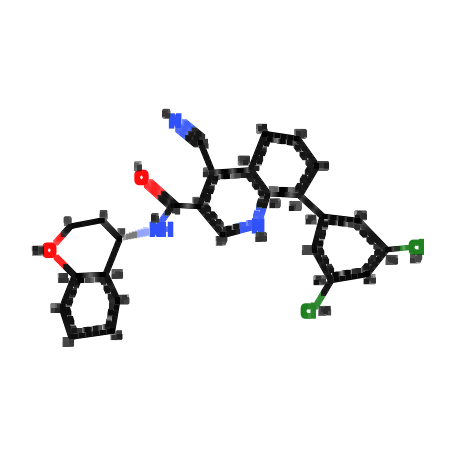 N#Cc1c(C(=O)N[C@H]2CCOc3ccccc32)cnc2c(-c3cc(Cl)cc(Cl)c3)cccc12